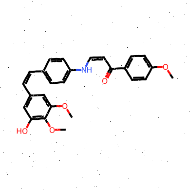 COc1ccc(C(=O)/C=C\Nc2ccc(/C=C\c3cc(O)c(OC)c(OC)c3)cc2)cc1